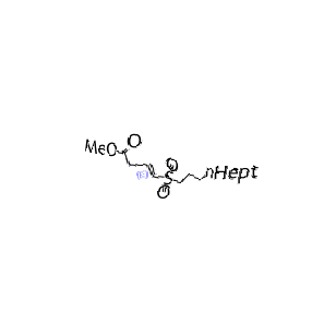 CCCCCCCCCCS(=O)(=O)/C=C/CC(=O)OC